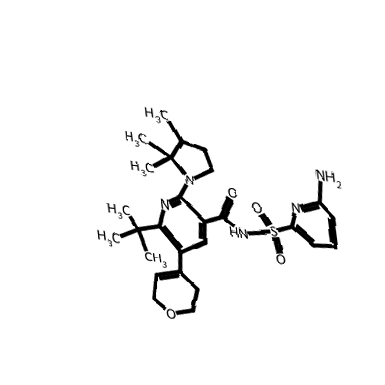 CC1CCN(c2nc(C(C)(C)C)c(C3=CCOCC3)cc2C(=O)NS(=O)(=O)c2cccc(N)n2)C1(C)C